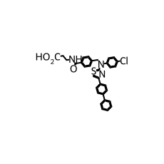 O=C(O)CCNC(=O)c1ccc(CN(c2ccc(Cl)cc2)c2nc(-c3ccc(-c4ccccc4)cc3)cs2)cc1